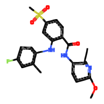 COc1ccc(NC(=O)c2ccc(S(C)(=O)=O)cc2Nc2ccc(F)cc2C)c(C)n1